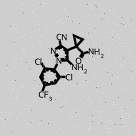 N#Cc1nn(-c2c(Cl)cc(C(F)(F)F)cc2Cl)c(N)c1C1(C(N)=O)CC1